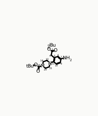 CC[C@@H](C)OC(=O)Cc1cc(N)ccc1N1CCN(C(=O)OC(C)(C)C)CC1